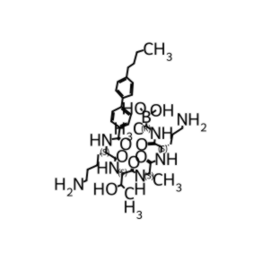 CCCCc1ccc(-c2ccc(C(=O)N[C@@H](CCCCN)C(=O)N[C@H](C(=O)N[C@@H](C)C(=O)N[C@@H](CCCN)C(=O)N[C@@H](C)B(O)O)C(C)O)cc2)cc1